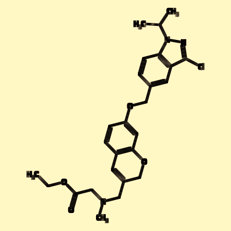 CCOC(=O)CN(C)CC1=Cc2ccc(OCc3ccc4c(c3)c(Cl)nn4C(C)C)cc2OC1